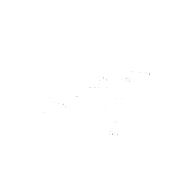 N.O=C(O)N1CCCC(C(O)(CCCN=S(=O)=O)c2cccc(Cl)c2)C1